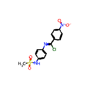 CS(=O)(=O)Nc1ccc(N=C(Cl)c2ccc([N+](=O)[O-])cc2)cc1